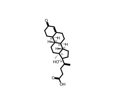 C=C(CCC(=O)O)[C@]1(O)CC[C@H]2[C@@H]3CCC4=CC(=O)CC[C@@H]4[C@H]3CC[C@@]21C